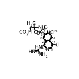 CC(C)(CC(=O)O)NS(=O)(=O)c1ccc2c(Cl)cnc(NC(=N)N)c2c1.Cl